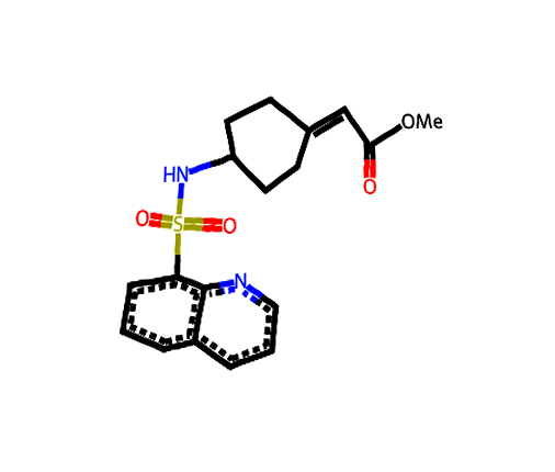 COC(=O)C=C1CCC(NS(=O)(=O)c2cccc3cccnc23)CC1